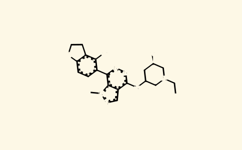 CCN1CC(Nc2nnc(-c3ccc4c(c3O)CCO4)c3c2cnn3C)C[C@@H](O)C1